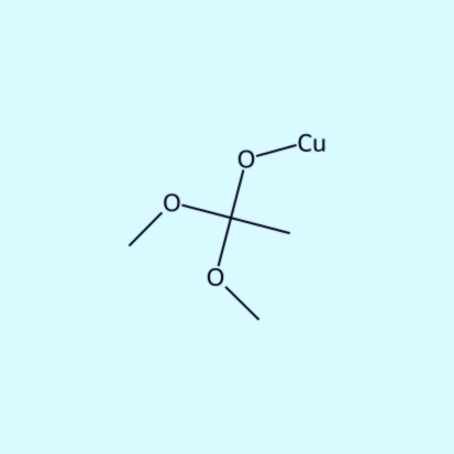 COC(C)(OC)[O][Cu]